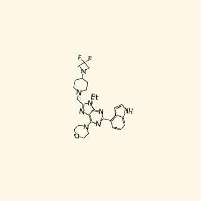 CCn1c(CN2CCC(N3CC(F)(F)C3)CC2)nc2c(N3CCOCC3)nc(-c3cccc4[nH]ccc34)nc21